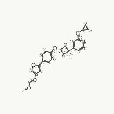 COCOc1cc(-c2cnc(O[C@H]3C[C@](F)(c4ccnc(OC5CC5)c4)C3)cn2)on1